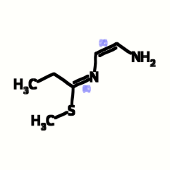 CC/C(=N\C=C/N)SC